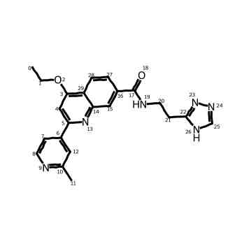 CCOc1cc(-c2ccnc(C)c2)nc2cc(C(=O)NCCc3nnc[nH]3)ccc12